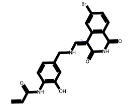 C=CC(=O)Nc1ccc(CN/C=C2\C(=O)NC(=O)c3ccc(Br)cc32)cc1O